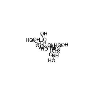 CC(=O)N(CC(O)C(O)CN(C(C)=O)c1c(I)c(C(=O)NCCO)c(I)c(C(=O)NCC(O)CO)c1I)c1c(I)c(C(=O)CCCO)c(I)c(C(=O)CCC(O)CO)c1I